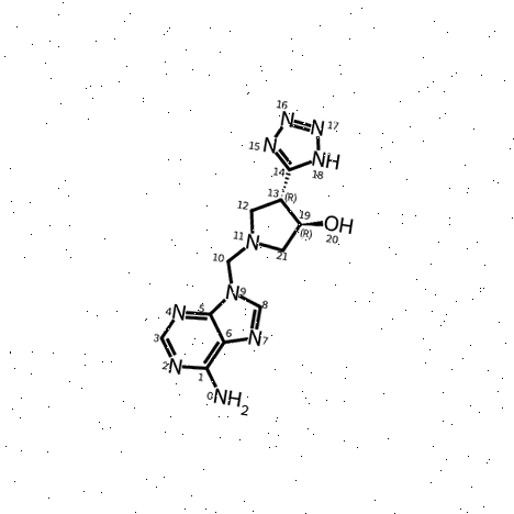 Nc1ncnc2c1ncn2CN1C[C@H](c2nnn[nH]2)[C@@H](O)C1